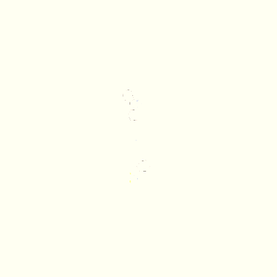 CS(=O)(=O)Nc1cc(CC(O)NCCOc2ccc3c(c2)[nH]c2ccccc23)ccc1CO